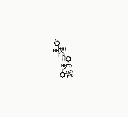 O=C(NCCc1ccccc1OS(=O)(=O)F)c1cccc(NCC2NNC(c3ccncc3)N2)c1